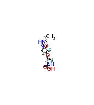 CCCNc1nc2ccc(OCC(=CF)CNC(=O)O)c(F)c2o1